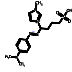 CN(C)c1ccc(/N=N/C(CCCS(=O)(=O)O)[n+]2ccn(C)c2)cc1